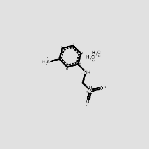 Bc1cccc(NC[SH](=O)=O)c1.O.O